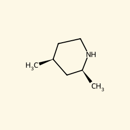 C[C@H]1CCN[C@@H](C)C1